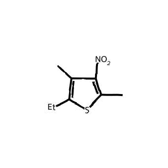 CCc1sc(C)c([N+](=O)[O-])c1C